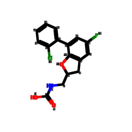 O=C(O)NCC1Cc2cc(F)cc(-c3ccccc3Cl)c2O1